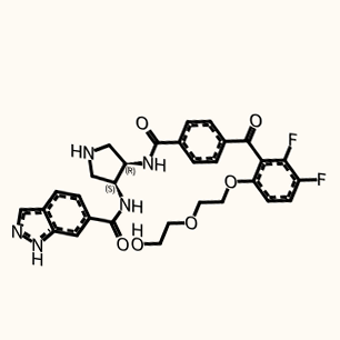 O=C(N[C@H]1CNC[C@H]1NC(=O)c1ccc(C(=O)c2c(OCCOCCO)ccc(F)c2F)cc1)c1ccc2cn[nH]c2c1